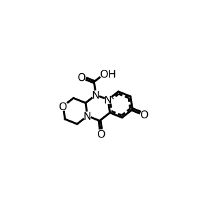 O=C1c2cc(=O)ccn2N(C(=O)O)C2COCCN12